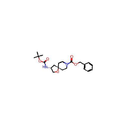 CC(C)(C)OC(=O)N[C@H]1COC2(CCN(C(=O)OCc3ccccc3)CC2)C1